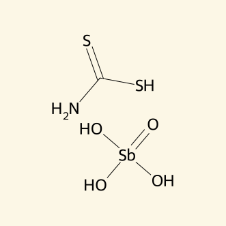 NC(=S)S.[O]=[Sb]([OH])([OH])[OH]